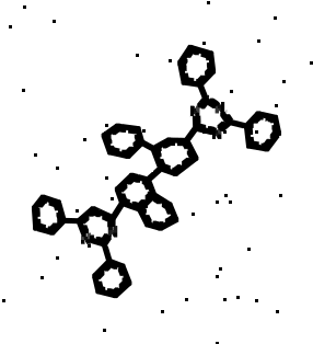 c1ccc(-c2cc(-c3ccc(-c4ccc(-c5nc(-c6ccccc6)nc(-c6ccccc6)n5)cc4-c4ccccc4)c4ccccc34)nc(-c3ccccc3)n2)cc1